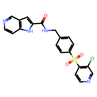 O=C(NCc1ccc(S(=O)(=O)c2ccncc2Cl)cc1)c1cc2cnccc2[nH]1